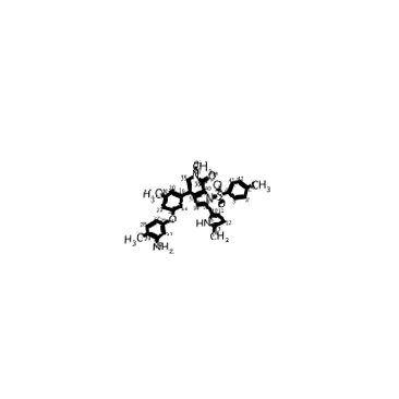 Cc1ccc(S(=O)(=O)n2c(-c3ccc(C)[nH]3)cc3c(-c4cc(C)cc(Oc5ccc(C)c(N)c5)c4)cn(C)c(=O)c32)cc1